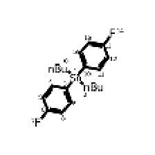 CCC[CH2][Sn]([CH2]CCC)([c]1ccc(F)cc1)[c]1ccc(F)cc1